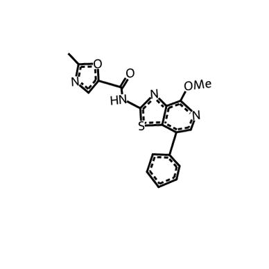 COc1ncc(-c2ccccc2)c2sc(NC(=O)c3cnc(C)o3)nc12